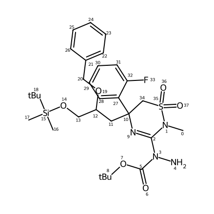 CN1C(N(N)C(=O)OC(C)(C)C)=NC(CC(CO[Si](C)(C)C(C)(C)C)OCc2ccccc2)(c2ccccc2F)CS1(=O)=O